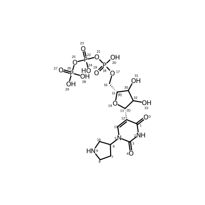 O=c1[nH]c(=O)n(C2CCNC2)cc1[C@@H]1O[C@H](COP(=O)(O)OP(=O)(O)OP(=O)(O)O)C(O)C1O